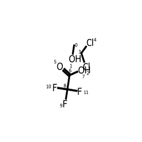 CO.ClCCl.O=C(O)C(F)(F)F